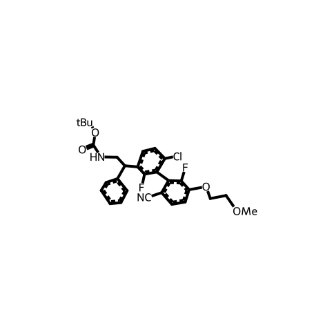 COCCOc1ccc(C#N)c(-c2c(Cl)ccc(C(CNC(=O)OC(C)(C)C)c3ccccc3)c2F)c1F